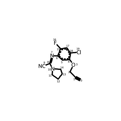 C#CCOc1cc(N=C(C#N)N2CCCC2)c(F)cc1Cl